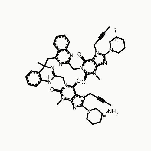 CC#CCn1c(N2CCC[C@@H](N)C2)nc2c1c(=O)n(CC1=NC(C)(Cc3nc(Cn4c(=O)c5c(nc(N6CCC[C@@H](C)C6)n5CC#CC)n(C)c4=O)nc4ccccc34)c3ccccc3N1)c(=O)n2C